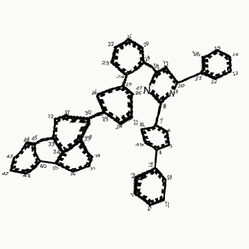 c1ccc(-c2ccc(-c3nc(-c4ccccc4)cc(-c4ccccc4-c4cccc(-c5ccc6c7c(cccc57)-c5ccccc5-6)c4)n3)cc2)cc1